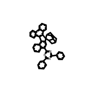 c1ccc(-c2nc(-c3ccccc3)nc(-c3cc4c(c5ccccc35)-c3c(c5ccccc5c5ccccc35)C43C4CC5CC(C4)CC3C5)n2)cc1